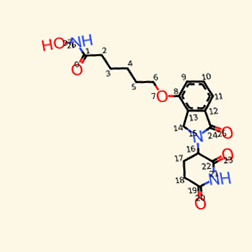 O=C(CCCCCOc1cccc2c1CN(C1CCC(=O)NC1=O)C2=O)NO